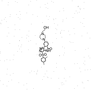 Cc1ccc(S(=O)(=O)c2nnn3c2[nH]c(=O)c2ccc(N4CCCN(CCO)CC4)cc23)c(C)c1